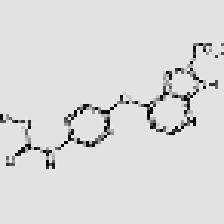 CCOC(=O)c1cc2c(Oc3ccc(NC(=O)OC(C)(C)C)cc3)ccnc2[nH]1